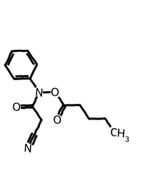 CCCCC(=O)ON(C(=O)CC#N)c1ccccc1